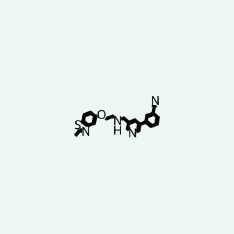 Cc1nc2cc(OCCNCc3cncc(-c4cccc(C#N)c4)c3)ccc2s1